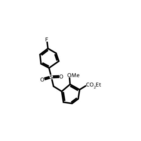 CCOC(=O)c1cccc(CS(=O)(=O)c2ccc(F)cc2)c1OC